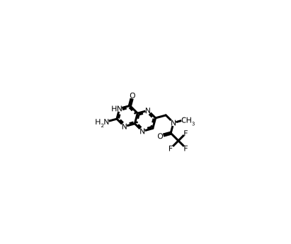 CN(Cc1cnc2nc(N)[nH]c(=O)c2n1)C(=O)C(F)(F)F